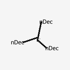 CCCCCCCCCCCCCCCCCCCCCCCCCCCC([CH]CC(C)CCCCCCCCCCCCCCCCCCCCCC)CCCCCCCCCCCCCCCCCCCCCCCCCC